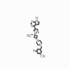 N#CC[C@]1(n2cc(-c3ncnc4[nH]ccc34)cn2)C[C@H](N2CCN(Cc3cc(F)cc(C#N)c3)CC2)C1